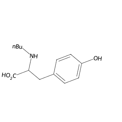 CCCCNC(Cc1ccc(O)cc1)C(=O)O